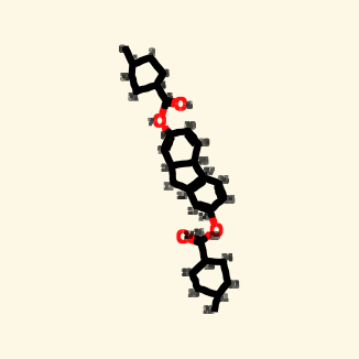 CC1CCC(C(=O)OC2=CC3Cc4cc(OC(=O)C5CCC(C)CC5)ccc4C3C=C2)CC1